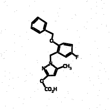 Cc1cc(OC(=O)O)nn1Cc1cc(F)ccc1OCc1ccccc1